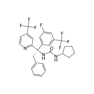 O=C(NC1CCCC1)N[C@](Cc1ccccc1)(c1cc(F)cc(C(F)(F)F)c1)c1cc(C(F)(F)F)ccn1